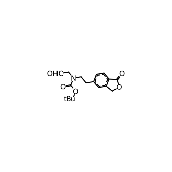 CC(C)(C)OC(=O)N(CC=O)CCc1ccc2c(c1)COC2=O